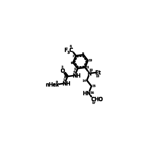 CCCCCCNC(=O)Nc1cc(C(F)(F)F)ccc1N(CC)CCNC=O